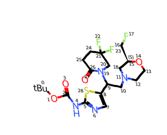 CC(C)(C)OC(=O)Nc1ncc(C(CN2CCO[C@H](CF)C2)N2CC(F)(F)CCC2=O)s1